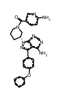 Nc1ccc(C(=O)N2CCC[C@@H](n3nc(-c4ccc(Oc5ccccc5)cc4)c4c(N)ncnc43)C2)cn1